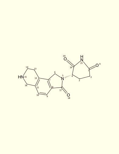 O=C1CC[C@H](N2Cc3c(ccc4c3CCNC4)C2=O)C(=O)N1